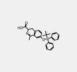 CC1=NC(C(=O)O)Cc2ccc(O[Si](c3ccccc3)(c3ccccc3)C(C)(C)C)cc21